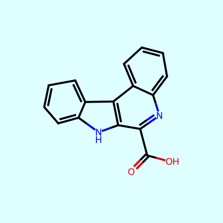 O=C(O)c1nc2ccccc2c2c1[nH]c1ccccc12